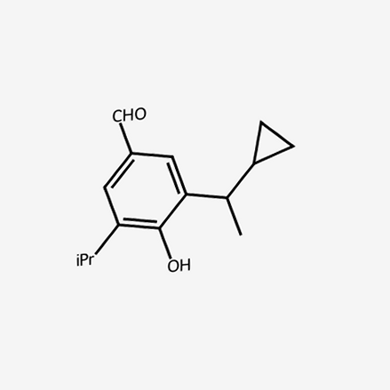 CC(C)c1cc(C=O)cc(C(C)C2CC2)c1O